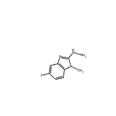 Cn1c(NN)nc2cc(F)ccc21